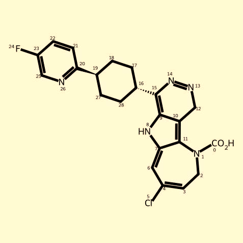 O=C(O)N1CC=C(Cl)C=c2[nH]c3c(c21)CN=NC=3[C@H]1CC[C@H](c2ccc(F)cn2)CC1